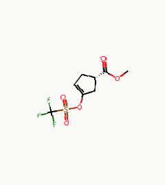 COC(=O)[C@H]1CC=C(OS(=O)(=O)C(F)(F)F)C1